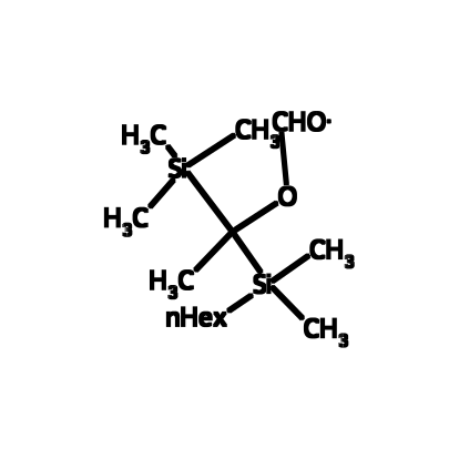 CCCCCC[Si](C)(C)C(C)(O[C]=O)[Si](C)(C)C